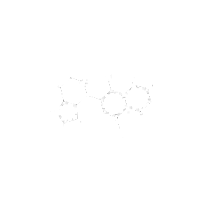 Oc1c(C2NCCc3sccc32)cc(Cl)c2cccnc12